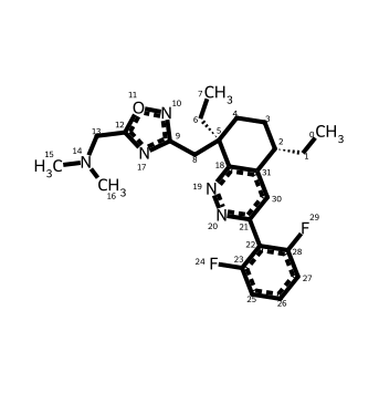 CC[C@H]1CC[C@](CC)(Cc2noc(CN(C)C)n2)c2nnc(-c3c(F)cccc3F)cc21